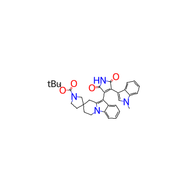 Cn1cc(C2=C(c3c4n(c5ccccc35)CCC3(CCN(C(=O)OC(C)(C)C)C3)C4)C(=O)NC2=O)c2ccccc21